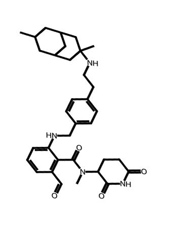 CC1CC2CC(C1)CC(C)(NCCc1ccc(CNc3cccc(C=O)c3C(=O)N(C)C3CCC(=O)NC3=O)cc1)C2